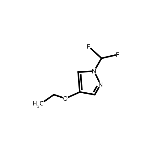 CCOc1cnn(C(F)F)c1